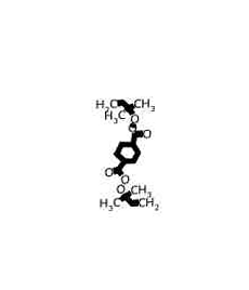 C=CC(C)(C)OOC(=O)C1CCC(C(=O)OOC(C)(C)C=C)CC1